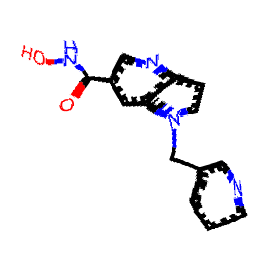 O=C(NO)c1cnc2ccn(Cc3cccnc3)c2c1